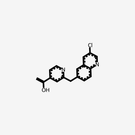 C=C(O)c1ccnc(Cc2ccc3ncc(Cl)cc3c2)c1